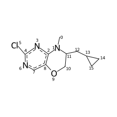 CN1c2nc(Cl)ncc2OCC1CC1CC1